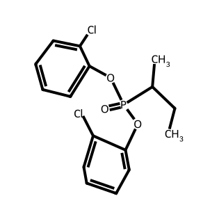 CCC(C)P(=O)(Oc1ccccc1Cl)Oc1ccccc1Cl